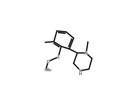 CCCCOSc1c(C)cccc1C1CNCCN1C